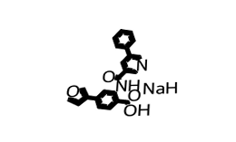 O=C(Nc1cc(-c2ccoc2)ccc1C(=O)O)c1cncc(-c2ccccc2)c1.[NaH]